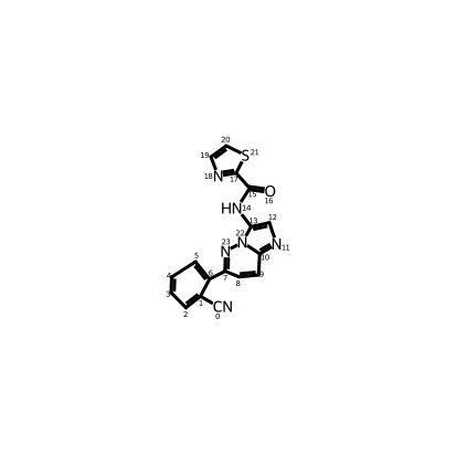 N#Cc1ccccc1-c1ccc2ncc(NC(=O)c3nccs3)n2n1